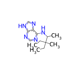 CCC(C)(CC)C(C)Nc1ncnc2[nH]cnc12